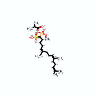 COP(=O)(OC(=O)C(C)C)C(CCCC=C(C)CCC=C(C)CCC=C(C)C)S(=O)(=O)O